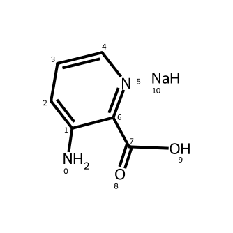 Nc1cccnc1C(=O)O.[NaH]